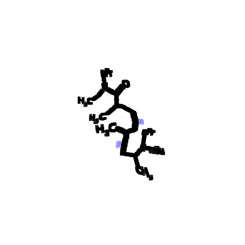 CCCCN(CCC)C(C)/C=C(C)\C=C/C(C)C(=O)N(C)CCC